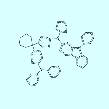 c1ccc(N(c2ccccc2)c2ccc(C3(c4ccc(N(c5ccccc5)c5ccc6c7ccccc7n(-c7ccccc7)c6c5)cc4)CCCCC3)cc2)cc1